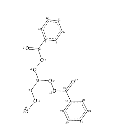 [CH2]COC[C](OOC(=O)c1ccccc1)OOC(=O)c1ccccc1